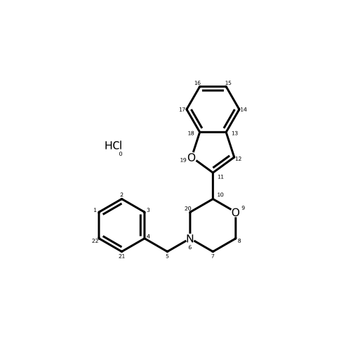 Cl.c1ccc(CN2CCOC(c3cc4ccccc4o3)C2)cc1